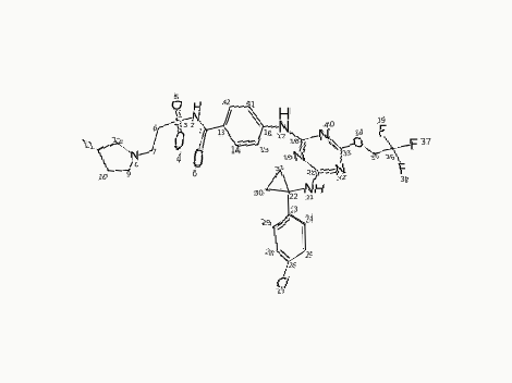 O=C(NS(=O)(=O)CCN1CCCC1)c1ccc(Nc2nc(NC3(c4ccc(Cl)cc4)CC3)nc(OCC(F)(F)F)n2)cc1